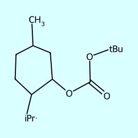 C[C](C)C1CCC(C)CC1OC(=O)OC(C)(C)C